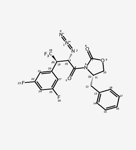 [N-]=[N+]=N[C@H](C(=O)N1C(=O)OC[C@@H]1Cc1ccccc1)[C@@H](c1cc(F)cc(F)c1)C(F)(F)F